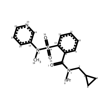 CCCN(CC1CC1)C(=O)c1ccccc1S(=O)(=O)N(C)c1cccnc1